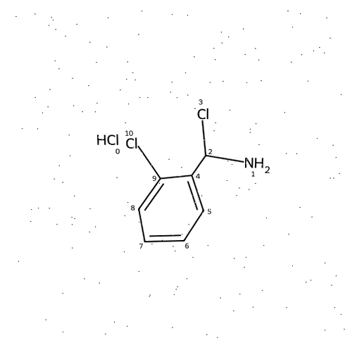 Cl.NC(Cl)c1ccccc1Cl